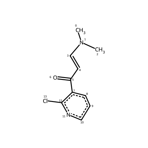 CN(C)/C=C/C(=O)c1cccnc1Cl